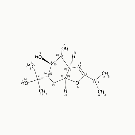 CN(C)C1=N[C@@H]2[C@@H](O)[C@H](O)[C@@H](C(C)(C)O)C[C@@H]2O1